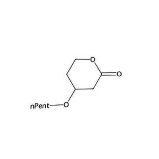 CCCCCOC1CCOC(=O)C1